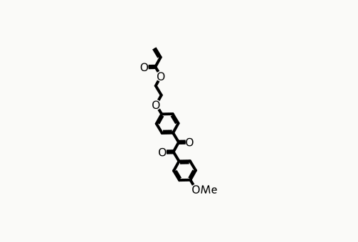 C=CC(=O)OCCOc1ccc(C(=O)C(=O)c2ccc(OC)cc2)cc1